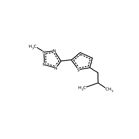 CC(C)Cc1ccc(-c2nnn(C)n2)s1